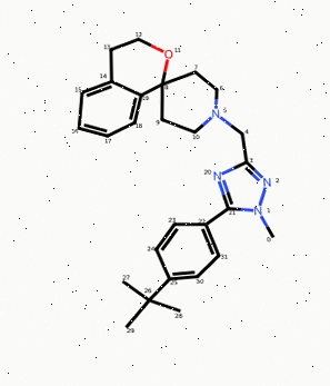 Cn1nc(CN2CCC3(CC2)OCCc2ccccc23)nc1-c1ccc(C(C)(C)C)cc1